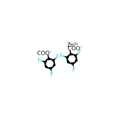 O=C([O-])c1c(F)cc(F)cc1F.O=C([O-])c1c(F)cc(F)cc1F.[Zn+2]